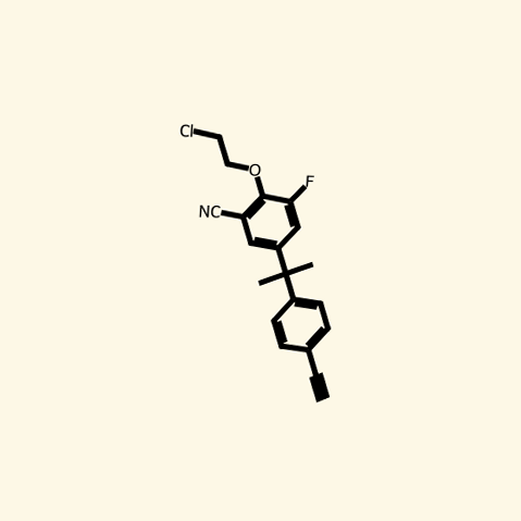 C#Cc1ccc(C(C)(C)c2cc(F)c(OCCCl)c(C#N)c2)cc1